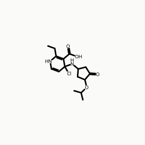 CCC1=C(C(=O)O)C(Cl)(NC2CC(=O)C(OC(C)C)C2)C=CN1